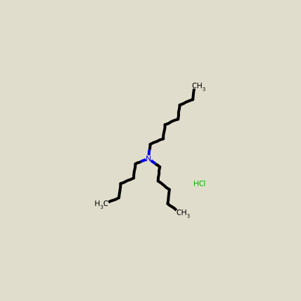 CCCCCCCN(CCCCC)CCCCC.Cl